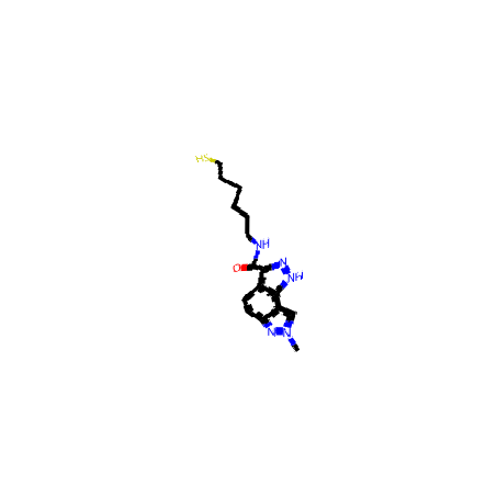 Cn1cc2c(ccc3c(C(=O)NCCCCCCS)n[nH]c32)n1